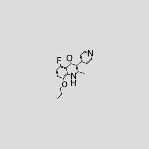 CCCOc1ccc(F)c2c(=O)c(-c3ccncc3)c(C)[nH]c12